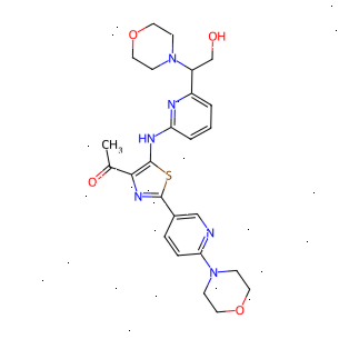 CC(=O)c1nc(-c2ccc(N3CCOCC3)nc2)sc1Nc1cccc(C(CO)N2CCOCC2)n1